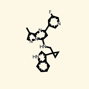 Cc1cnn2c(NCC3(c4c[nH]c5ccccc45)CC3)cc(-c3cncc(F)c3)nc12